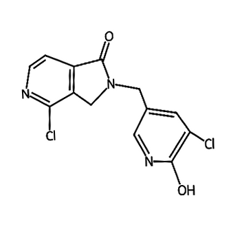 O=C1c2ccnc(Cl)c2CN1Cc1cnc(O)c(Cl)c1